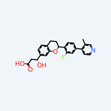 Cc1cnccc1-c1ccc(C2CCc3ccc([C@H](O)CC(=O)O)cc3O2)c(F)c1